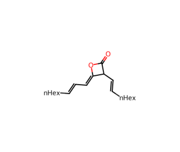 CCCCCCC=CC=C1OC(=O)C1C=CCCCCCC